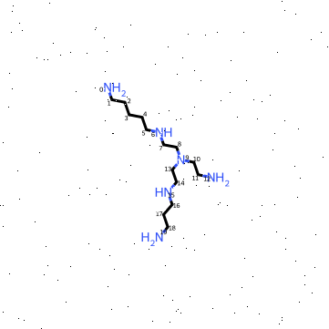 NCCCCCNCCN(CCN)CCNCCCN